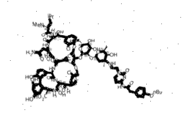 CCCCOc1ccc(CC(=O)Nc2ccn(CCN[C@@]3(C)C[C@H](O[C@H]4C(Oc5c6cc7cc5Oc5ccc(cc5Cl)[C@@H](O)[C@@H](NC(=O)[C@@H](CC(C)C)NC)C(=O)N[C@@H](CC(N)=O)C(=O)NC7C(=O)NC5C(=O)N[C@H](C(=O)N[C@@H](C(=O)O)c7cc(O)cc(O)c7-c7cc5ccc7O)[C@H](O)c5ccc(c(Cl)c5)O6)O[C@H](CO)[C@@H](O)[C@@H]4O)O[C@@H](C)[C@H]3O)c(=O)n2)cc1